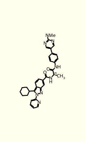 CNc1ncc(-c2ccc(NC(=O)[C@@H](C)NC(=O)c3ccc4c(C5CCCCC5)n(-c5ccccn5)nc4c3)cc2)cn1